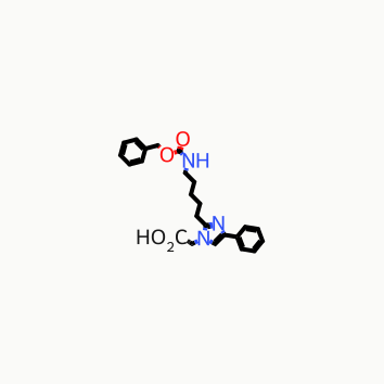 O=C(O)Cn1cc(-c2ccccc2)nc1CCCCCNC(=O)OCc1ccccc1